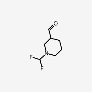 O=CC1CCCN(C(F)F)C1